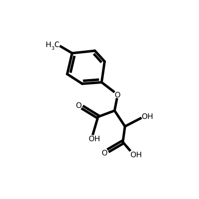 Cc1ccc(OC(C(=O)O)C(O)C(=O)O)cc1